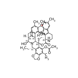 CC[C@H]1c2c3c(c(C)c(OC(C)=O)c2[C@]2(OC(=O)[C@]4(CS2)NCCc2c4[nH]c4ccc(C)cc24)C2[C@H]4N[C@H](Cc5cc(C)c(OC)c(O)c54)[C@H](O)N21)OCO3